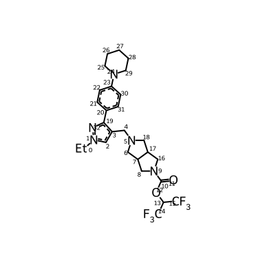 CCn1cc(CN2CC3CN(C(=O)OC(C(F)(F)F)C(F)(F)F)CC3C2)c(-c2ccc(N3CCCCC3)cc2)n1